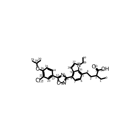 CCC(CCc1ccc(-c2noc(-c3ccc(OC(C)C)c(Cl)c3)n2)c2ccn(CC)c12)C(=O)O